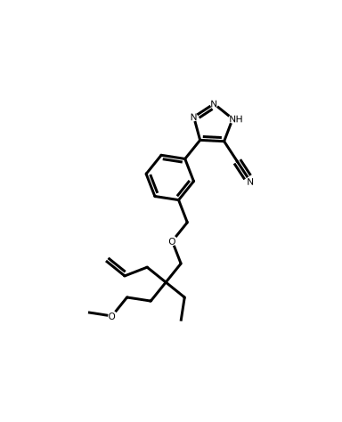 C=CCC(CC)(CCOC)COCc1cccc(-c2nn[nH]c2C#N)c1